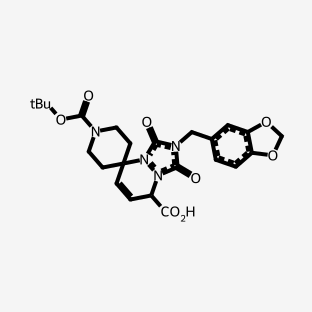 CC(C)(C)OC(=O)N1CCC2(C=CC(C(=O)O)n3c(=O)n(Cc4ccc5c(c4)OCO5)c(=O)n32)CC1